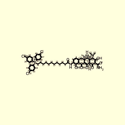 C[C@H]1c2ccc(NC(=O)CCCCCCCCCCC[PH](c3ccc(Cl)cc3)(c3ccc(Cl)cc3)c3ccc(Cl)cc3)c(O)c2C(=O)C2=C(O)[C@]3(O)C(=O)C(C(N)=O)=C(O)[C@@H](N(C)C)[C@@H]3[C@@H](O)[C@@H]21